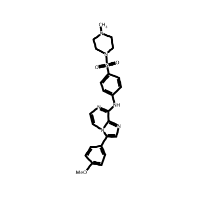 COc1ccc(-c2cnc3c(Nc4ccc(S(=O)(=O)N5CCN(C)CC5)cc4)nccn23)cc1